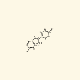 Cc1ccc2cc(-c3ccc(F)nc3)[nH]c2c1